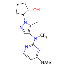 CNc1ccnc(N(c2cnn(C3CCCC3O)c2C)C(F)(F)F)n1